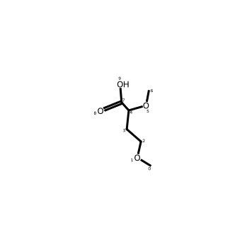 COCCC(OC)C(=O)O